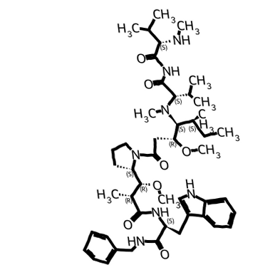 CC[C@H](C)[C@@H]([C@@H](CC(=O)N1CCC[C@H]1[C@H](OC)[C@@H](C)C(=O)N[C@@H](Cc1c[nH]c2ccccc12)C(=O)NCc1ccccc1)OC)N(C)[C@H](C(=O)NC(=O)[C@@H](NC)C(C)C)C(C)C